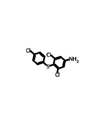 Nc1cc(Cl)c(Sc2ccc(Cl)cc2)c(Cl)c1